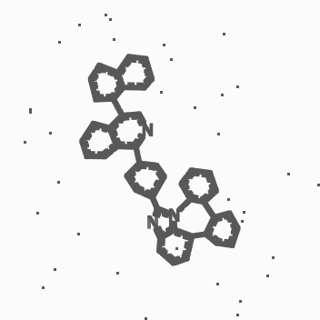 c1ccc2c(c1)-c1ccccc1-n1c(-c3ccc(-c4ncc(-c5cccc6ccccc56)c5ccccc45)cc3)nc3cccc-2c31